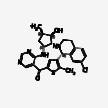 [CH2][C@@H]1C[C@@H](Nc2ncncc2C(=O)c2cc([C@@H]3NCCc4ccc(Cl)cc43)c(C)s2)C[C@@H]1O